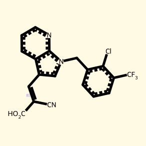 N#C/C(=C\c1cn(Cc2cccc(C(F)(F)F)c2Cl)c2ncccc12)C(=O)O